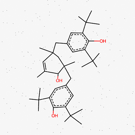 CC1=CC(C)(Cc2cc(C(C)(C)C)c(O)c(C(C)(C)C)c2)CC(C)(Cc2cc(C(C)(C)C)c(O)c(C(C)(C)C)c2)C1O